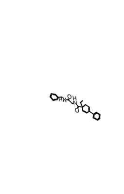 CCC1(C(=O)NCC(=O)NCc2ccccc2)C=CC(c2ccccc2)=CC1